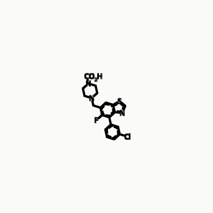 O=C(O)N1CCN(Cc2cc3scnc3c(-c3cccc(Cl)c3)c2F)CC1